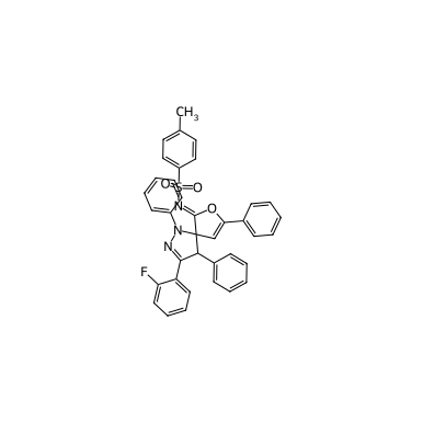 Cc1ccc(S(=O)(=O)/N=C2\OC(c3ccccc3)=CC23C(c2ccccc2)C(c2ccccc2F)=NN3c2ccccc2)cc1